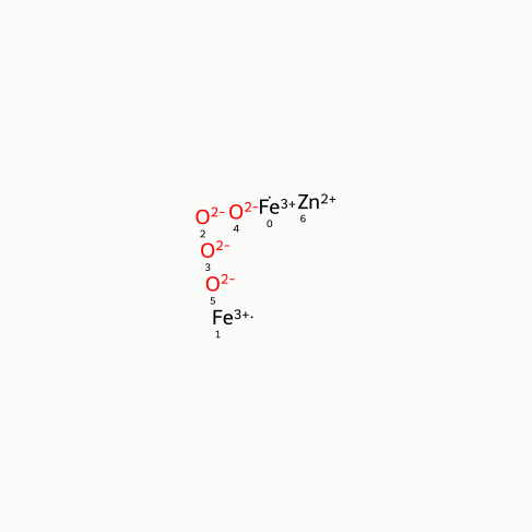 [Fe+3].[Fe+3].[O-2].[O-2].[O-2].[O-2].[Zn+2]